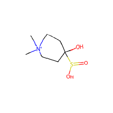 C[N+]1(C)CCC(O)(S(=O)O)CC1